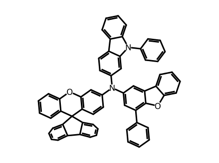 c1ccc(-c2cc(N(c3ccc4c(c3)Oc3ccccc3C43c4ccccc4-c4ccccc43)c3ccc4c5ccccc5n(-c5ccccc5)c4c3)cc3c2oc2ccccc23)cc1